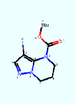 CC(C)(C)OC(=O)N1CCCn2ncc(I)c21